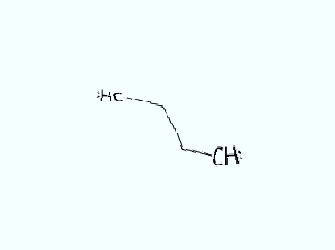 [CH]CC[CH]